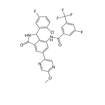 COc1cnc(-c2cc(NC(=O)c3cc(F)cc(C(F)(F)F)c3)c3c(c2)C(=O)NC3c2cc(F)ccc2Cl)cn1